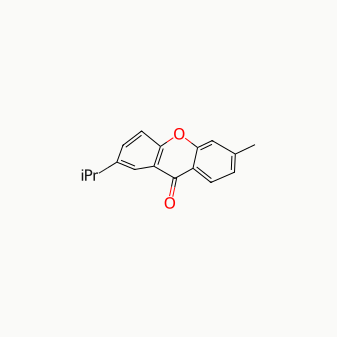 Cc1ccc2c(=O)c3cc(C(C)C)ccc3oc2c1